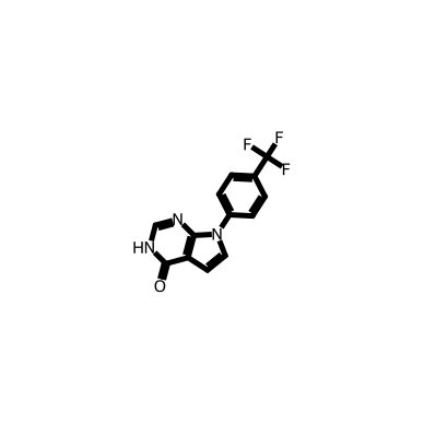 O=c1[nH]cnc2c1ccn2-c1ccc(C(F)(F)F)cc1